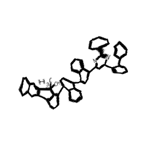 CC1(C)c2cc3ccccc3cc2-c2cccc(-c3ccc(-c4ccc(-c5cc(-c6ccccc6-c6ccccc6)nc(-c6ccccc6)n5)c5ccccc45)c4ccccc34)c21